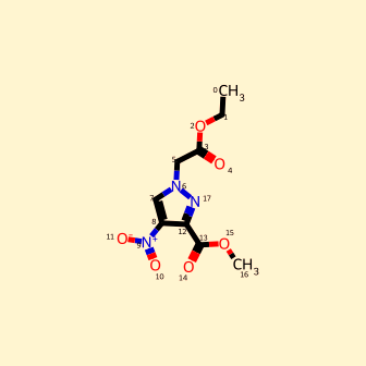 CCOC(=O)Cn1cc([N+](=O)[O-])c(C(=O)OC)n1